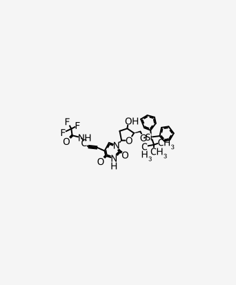 CC(C)(C)[Si](OC[C@H]1O[C@@H](n2cc(C#CCNC(=O)C(F)(F)F)c(=O)[nH]c2=O)CC1O)(c1ccccc1)c1ccccc1